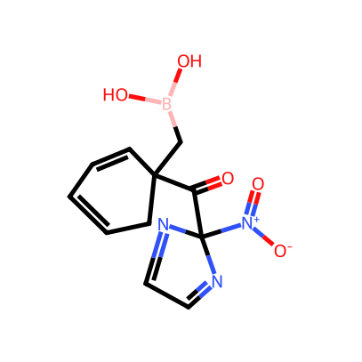 O=C(C1(CB(O)O)C=CC=CC1)C1([N+](=O)[O-])N=CC=N1